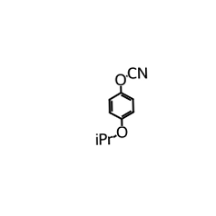 CC(C)Oc1ccc(OC#N)cc1